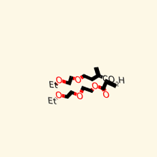 C=C(CCOCCOCC)C(=O)O.C=CC(=O)OCCOCCOCC